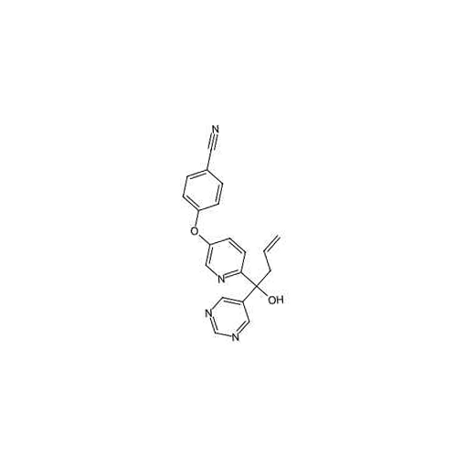 C=CCC(O)(c1cncnc1)c1ccc(Oc2ccc(C#N)cc2)cn1